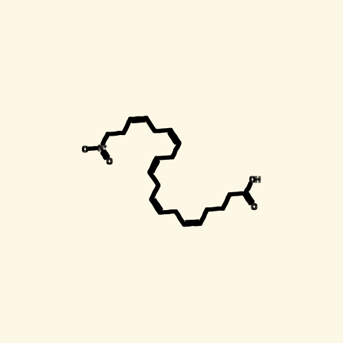 O=C(O)CCC/C=C\C/C=C\C/C=C\C/C=C\C/C=C\CC[N+](=O)[O-]